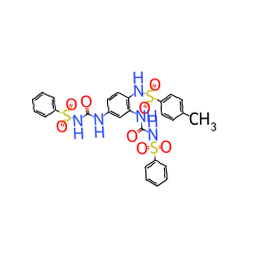 Cc1ccc(S(=O)(=O)Nc2ccc(NC(=O)NS(=O)(=O)c3ccccc3)cc2NC(=O)NS(=O)(=O)c2ccccc2)cc1